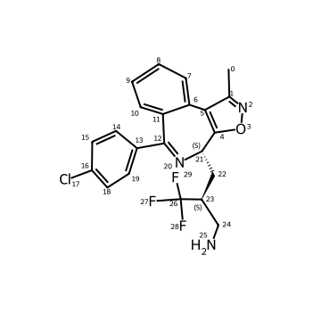 Cc1noc2c1-c1ccccc1C(c1ccc(Cl)cc1)=N[C@H]2C[C@@H](CN)C(F)(F)F